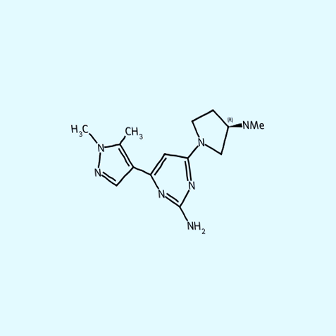 CN[C@@H]1CCN(c2cc(-c3cnn(C)c3C)nc(N)n2)C1